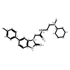 Cc1ccc(-c2ccc3oc(=O)n(CC(=O)NCCN(C)C4CCCCC4)c3c2)cc1